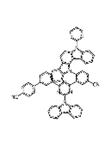 N#Cc1ccc(-c2cccc(-c3nc(-c4cc(C#N)ccc4-n4c5ccccc5c5ccc6c(c7ccccc7n6-c6ccccc6)c54)nc(-n4c5ccccc5c5ccccc54)n3)c2)cc1